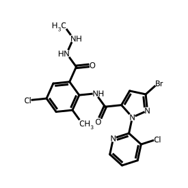 CNNC(=O)c1cc(Cl)cc(C)c1NC(=O)c1cc(Br)nn1-c1ncccc1Cl